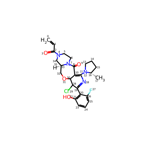 C=CC(=O)N1CCN2C(=O)C3=C(N4CCC[C@@H]4C)N=C(c4c(O)cccc4F)C(Cl)C3OC[C@H]2C1